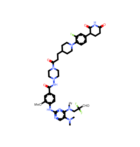 COc1cc(C(=O)NN2CCN(C(=O)CCC3CCN(c4ccc(C5CCC(=O)NC5=O)cc4F)CC3)CC2)ccc1Nc1ncc(N(C)C)c(N(CC(F)(F)C=O)C(C)C)n1